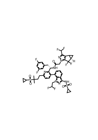 CC(C)(CCc1ccc(-c2cccc3c(NS(=O)(=O)C4CC4)nn(CC(F)F)c23)c([C@H](Cc2cc(F)cc(F)c2)NC(=O)Cn2nc(C(F)F)c3c2C(F)(F)[C@@H]2CC32)n1)S(=O)(=O)C1CC1